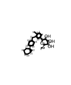 CS[C@H]1OC(c2ccc(C)c(Cc3ccc([C@]45CCCCC4C5)cc3)c2)[C@H](O)[C@@H](O)[C@@H]1O